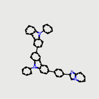 c1ccc(-n2c3ccccc3c3cc(-c4ccc5c(c4)c4cc(-c6ccc(-c7cn8ccccc8n7)cc6)ccc4n5-c4ccccc4)ccc32)cc1